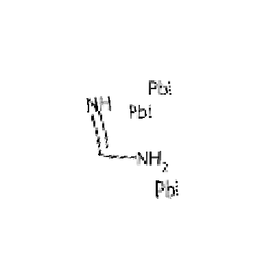 N=CN.[Pb].[Pb].[Pb]